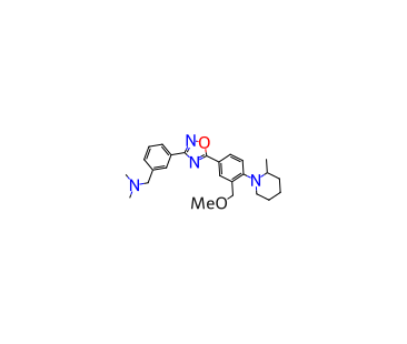 COCc1cc(-c2nc(-c3cccc(CN(C)C)c3)no2)ccc1N1CCCCC1C